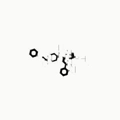 Bc1cnn2c(NC3CCN(C(=O)CSc4ccccc4)CC3)cc(-c3ccccc3Cl)nc12